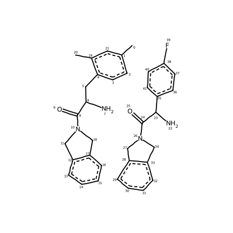 Cc1ccc(CC(N)C(=O)N2Cc3ccccc3C2)c(C)c1.NC(C(=O)N1Cc2ccccc2C1)c1ccc(F)cc1